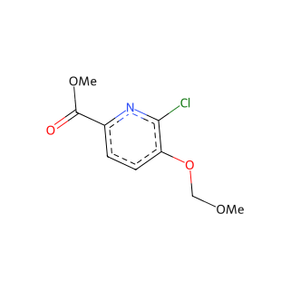 COCOc1ccc(C(=O)OC)nc1Cl